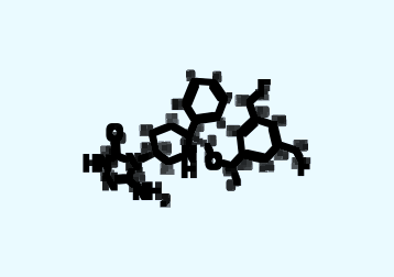 C[C@@H](OC[C@@]1(c2ccccc2)CC[C@H](n2c(N)n[nH]c2=O)CN1)c1cc(CF)cc(CF)c1